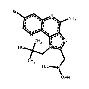 CON(C)Cc1nc2c(N)nc3cc(Br)cnc3c2n1CC(C)(C)O